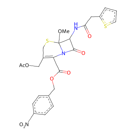 COC12SCC(COC(C)=O)=C(C(=O)OCc3ccc([N+](=O)[O-])cc3)N1C(=O)C2NC(=O)Cc1cccs1